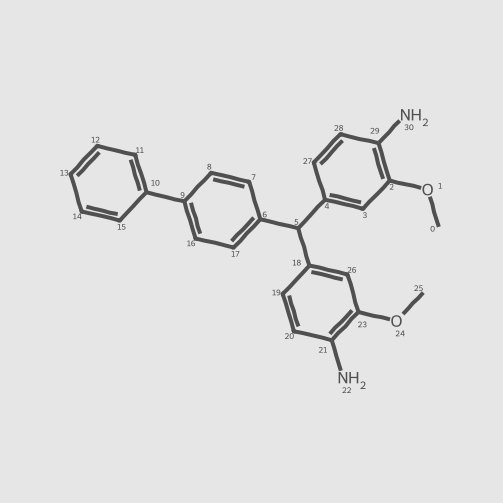 COc1cc(C(c2ccc(-c3ccccc3)cc2)c2ccc(N)c(OC)c2)ccc1N